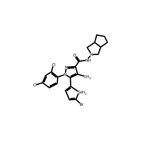 Cc1c(C(=O)NN2CC3CCCC3C2)nn(-c2ccc(Cl)cc2Cl)c1C1=CC=C(Br)[SeH2]1